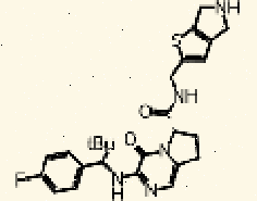 CC(C)(C)[C@@H](Nc1ncc2n(c1=O)[C@H](C(=O)NCc1cc3c(s1)CNC3)CC2)c1ccc(F)cc1